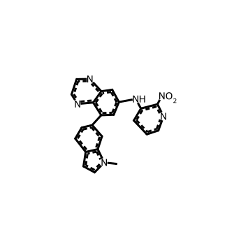 Cn1ccc2ccc(-c3cc(Nc4cccnc4[N+](=O)[O-])cc4nccnc34)cc21